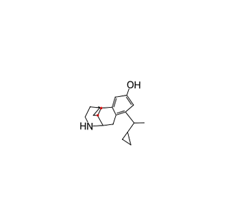 CC(c1cc(O)cc2c1CC1NCCC23CCCCC13)C1CC1